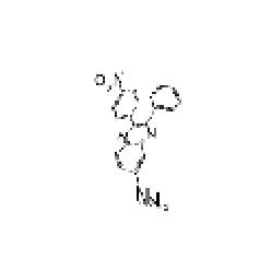 Nc1ccc2nc(-c3ccc([N+](=O)[O-])cc3)c(-c3ccccc3)nc2c1